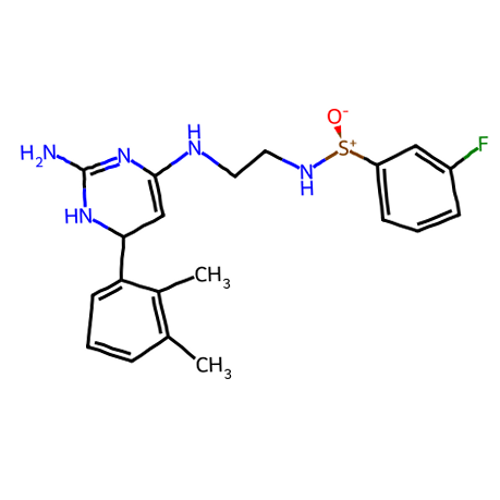 Cc1cccc(C2C=C(NCCN[S@@+]([O-])c3cccc(F)c3)N=C(N)N2)c1C